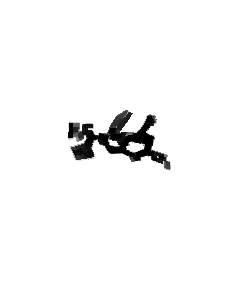 C[C@H](O)N1C=C2N=C(C(F)(F)F)C=C([S])N2N1